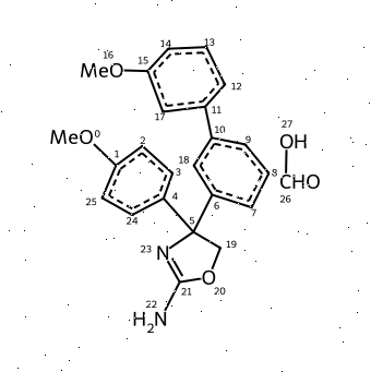 COc1ccc(C2(c3cccc(-c4cccc(OC)c4)c3)COC(N)=N2)cc1.O=CO